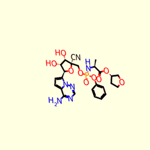 C[C@H](NP(=O)(OC[C@@]1(C#N)O[C@@H](c2ccc3c(N)ncnn23)[C@H](O)[C@@H]1O)Oc1ccccc1)C(=O)O[C@H]1CCOC1